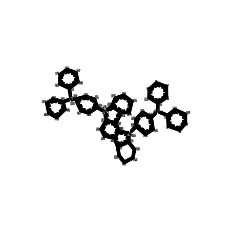 c1ccc(N(c2ccccc2)c2ccc(-n3c4c(c5ccc6c(c7ccccc7n6-c6ccc(N(c7ccccc7)c7ccccc7)cc6)c53)CCCC4)cc2)cc1